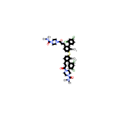 CCN(CC)C(=O)N1CCN(C(=O)/C=C/c2ccc(Sc3ccc(/C=C/C(=O)N4CCN(C(=O)N(CC)CC)CC4)c(-c4ccc(Cl)cc4Cl)c3[N+](=O)[O-])c([N+](=O)[O-])c2-c2ccc(Cl)cc2Cl)CC1